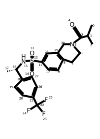 CC(C)C(=O)N1CCc2ccc(S(=O)(=O)N[C@@H](C)c3ccc(C(F)(F)F)cc3)cc2C1